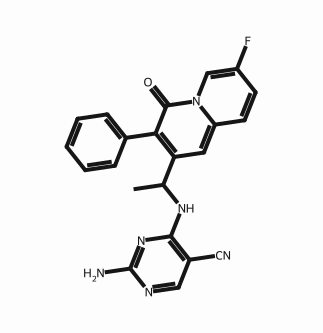 CC(Nc1nc(N)ncc1C#N)c1cc2ccc(F)cn2c(=O)c1-c1ccccc1